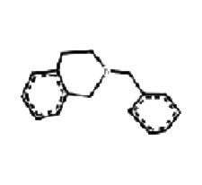 [c]1ccccc1CN1CCc2ccccc2C1